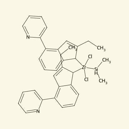 CCC1=Cc2c(-c3ccccn3)cccc2[CH]1[Zr]([Cl])([Cl])([CH]1C(CC)=Cc2c(-c3ccccn3)cccc21)[SiH](C)C